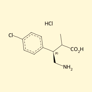 CC(C(=O)O)[C@@H](CN)c1ccc(Cl)cc1.Cl